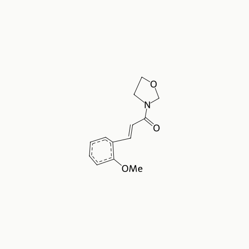 COc1ccccc1C=CC(=O)N1CCOC1